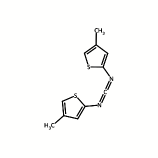 Cc1csc(N=C=Nc2cc(C)cs2)c1